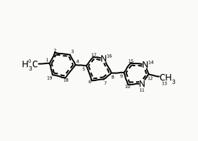 Cc1ccc(-c2ccc(-c3cnc(C)nc3)nc2)cc1